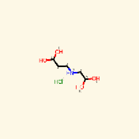 Cl.OC(O)CCNCC(O)O